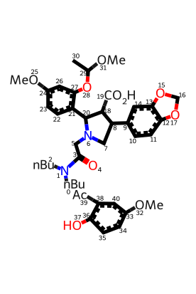 CCCCN(CCCC)C(=O)CN1CC(c2ccc3c(c2)OCO3)C(C(=O)O)C1c1ccc(OC)cc1OC(C)OC.COc1ccc(O)c(C(C)=O)c1